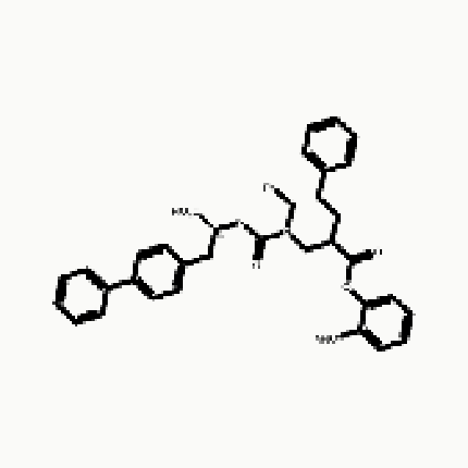 COc1ccccc1OC(=O)C(CCc1ccccc1)CN(CC(C)C)C(=O)N[C@@H](Cc1ccc(-c2ccccc2)cc1)C(=O)O